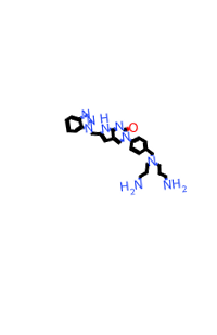 NCCCN(CCCN)Cc1ccc(-n2cc3cc(Cn4nnc5ccccc54)[nH]c3nc2=O)cc1